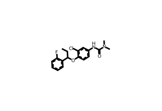 CCC(Oc1ccc(NC(=O)N(C)C)cc1Cl)c1ccccc1F